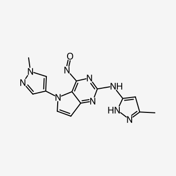 Cc1cc(Nc2nc(N=O)c3c(ccn3-c3cnn(C)c3)n2)[nH]n1